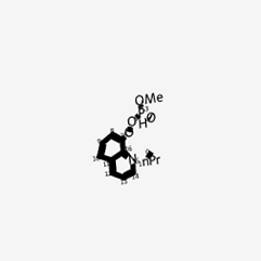 CCCC.CO[PH](=O)OOc1cccc2cccnc12